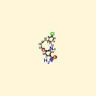 CN1Cc2ccc(Cl)cc2CCCCOc2ccc(C(N)=O)cc21